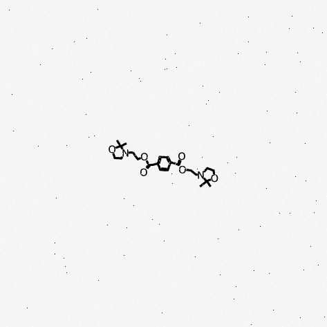 CC1(C)OCCN1CCOC(=O)c1ccc(C(=O)OCCN2CCOC2(C)C)cc1